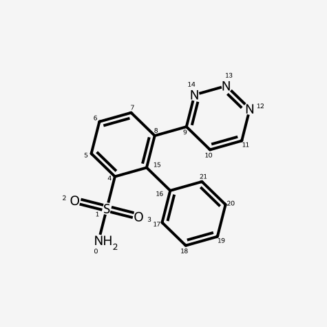 NS(=O)(=O)c1cccc(-c2ccnnn2)c1-c1ccccc1